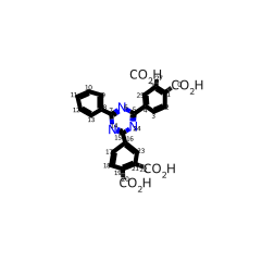 O=C(O)c1ccc(-c2nc(-c3ccccc3)nc(-c3ccc(C(=O)O)c(C(=O)O)c3)n2)cc1C(=O)O